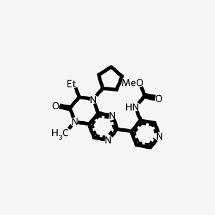 CCC1C(=O)N(C)c2cnc(-c3ccncc3NC(=O)OC)nc2N1C1CCCC1